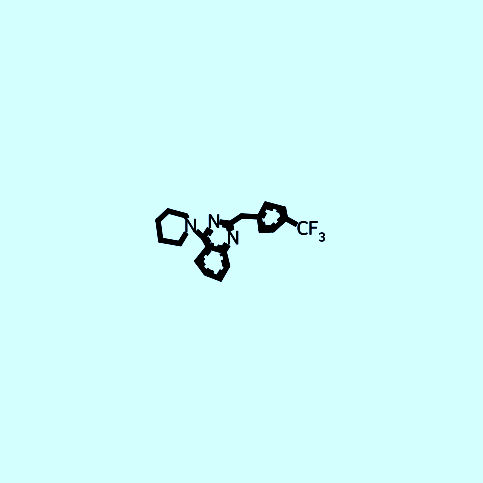 FC(F)(F)c1ccc(Cc2nc(N3CCCCC3)c3ccccc3n2)cc1